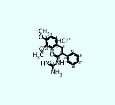 COc1ccc(CC(C(=O)NC(=N)N)c2ccccc2)cc1OC.Cl